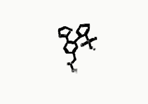 CNCc1ccc(-c2nccs2)c(-c2ccccc2S(N)(=O)=O)c1